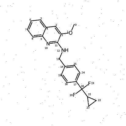 COc1cc2ccccc2nc1NCc1ccc(C(F)(F)C2CC2)cc1